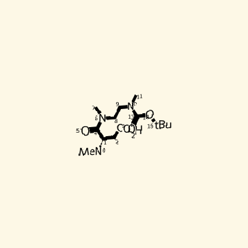 CN[C@@H](CC(=O)O)C(=O)N(C)CCN(C)C(=O)OC(C)(C)C